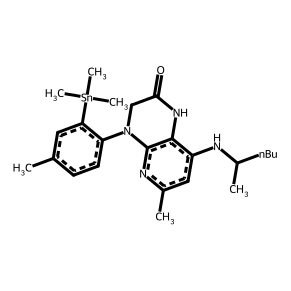 CCCCC(C)Nc1cc(C)nc2c1NC(=O)CN2c1ccc(C)c[c]1[Sn]([CH3])([CH3])[CH3]